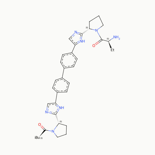 CC[C@H](C)C(=O)N1CCC[C@H]1c1ncc(-c2ccc(-c3ccc(-c4cnc([C@@H]5CCCN5C(=O)[C@@H](N)CC)[nH]4)cc3)cc2)[nH]1